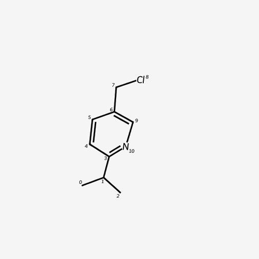 CC(C)c1ccc(CCl)cn1